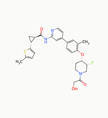 Cc1ccc([C@@H]2C[C@H]2C(=O)Nc2cc(-c3ccc(O[C@H]4CCN(C(=O)CO)C[C@H]4F)c(C)c3)ccn2)s1